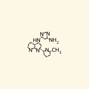 Cc1cccc(-c2cc(Nc3cc(N)ncn3)c3cccnc3n2)n1